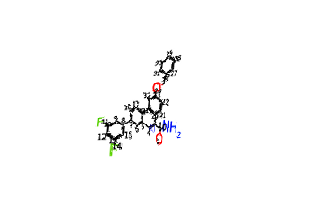 NC(=O)/C=C/c1cc(-c2cc(F)cc(F)c2)ccc1-c1cccc(OCc2ccccc2)c1